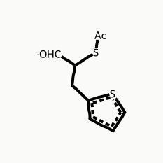 CC(=O)SC([C]=O)Cc1cccs1